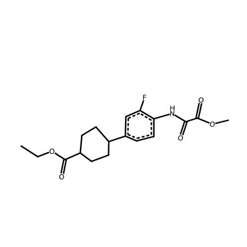 CCOC(=O)C1CCC(c2ccc(NC(=O)C(=O)OC)c(F)c2)CC1